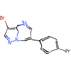 CC(C)c1ccc(-c2cnc3c(Br)cnn3c2)cc1